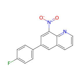 O=[N+]([O-])c1cc(-c2ccc(F)cc2)cc2cccnc12